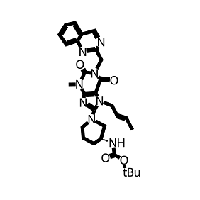 C/C=C/Cn1c(N2CCC[C@@H](NC(=O)OC(C)(C)C)C2)nc2c1c(=O)n(Cc1ncc3ccccc3n1)c(=O)n2C